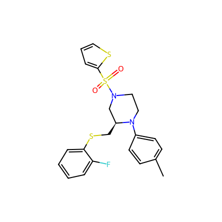 Cc1ccc(N2CCN(S(=O)(=O)c3cccs3)C[C@@H]2CSc2ccccc2F)cc1